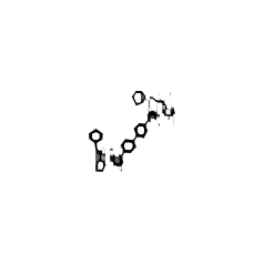 O=C(CCN1CCCCC1)N1CCC[C@H]1c1ncc(-c2ccc(-c3ccc(-c4cnc([C@@H]5CCCN5C(=O)Cc5ccccc5)[nH]4)cc3)cc2)[nH]1